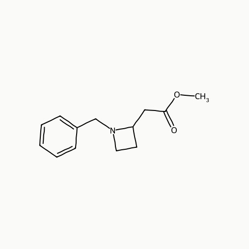 COC(=O)CC1CCN1Cc1ccccc1